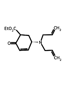 C=CCN(CC=C)[C@@H]1C=CC(=O)C(C(=O)OCC)C1